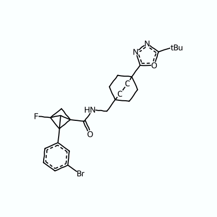 CC(C)(C)c1nnc(C23CCC(CNC(=O)C45CC(F)(C4)C5c4cccc(Br)c4)(CC2)CC3)o1